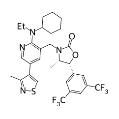 CCN(c1ncc(-c2csnc2C)cc1CN1C(=O)O[C@H](c2cc(C(F)(F)F)cc(C(F)(F)F)c2)[C@@H]1C)C1CCCCC1